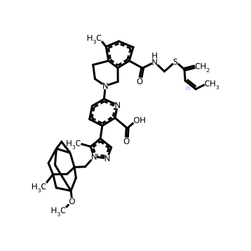 C=C(/C=C\C)SCNC(=O)c1ccc(C)c2c1CN(c1ccc(-c3cnn(CC45CC6(C)CC(OC)(CC7(CC74)C6)C5)c3C)c(C(=O)O)n1)CC2